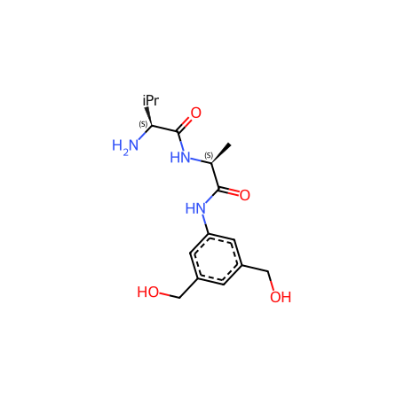 CC(C)[C@H](N)C(=O)N[C@@H](C)C(=O)Nc1cc(CO)cc(CO)c1